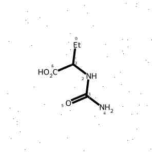 CCC(NC(N)=O)C(=O)O